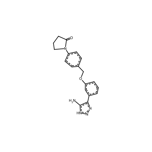 Nc1[nH]nnc1-c1cccc(OCc2ccc(N3CCCC3=O)cc2)c1